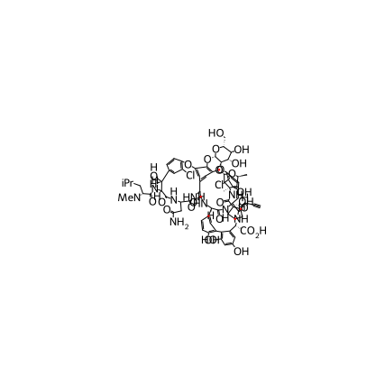 C#CCC1CCCC1C(=O)N[C@@]1(C)C[C@H](O[C@H]2[C@H](Oc3c4cc5cc3Oc3ccc(cc3Cl)[C@@H](O)[C@@H](NC(=O)[C@@H](CC(C)C)NC)C(=O)NC(CC(N)=O)C(=O)N[C@H]5C(=O)N[C@H]3C(=O)N[C@H](C(=O)N[C@H](C(=O)O)c5cc(O)cc(O)c5-c5cc3ccc5O)[C@H](O)c3ccc(c(Cl)c3)O4)O[C@H](CO)[C@@H](O)[C@@H]2O)O[C@@H](C)[C@H]1O